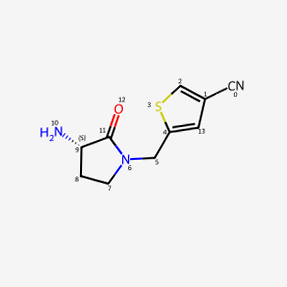 N#Cc1csc(CN2CC[C@H](N)C2=O)c1